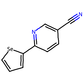 N#Cc1ccc(-c2ccc[se]2)nc1